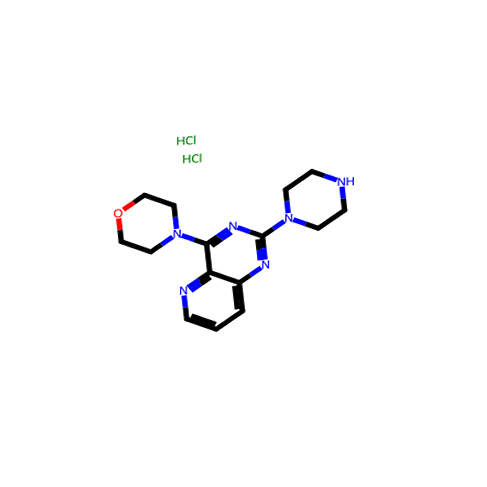 Cl.Cl.c1cnc2c(N3CCOCC3)nc(N3CCNCC3)nc2c1